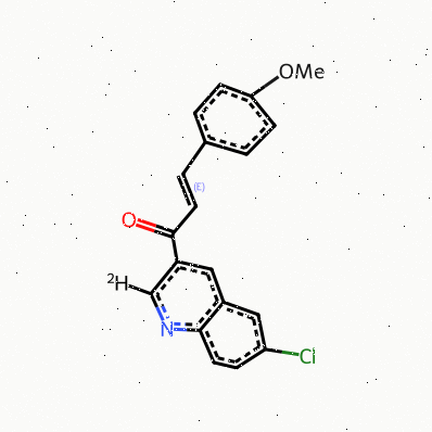 [2H]c1nc2ccc(Cl)cc2cc1C(=O)/C=C/c1ccc(OC)cc1